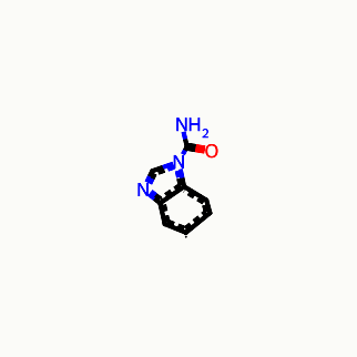 NC(=O)n1cnc2c[c]ccc21